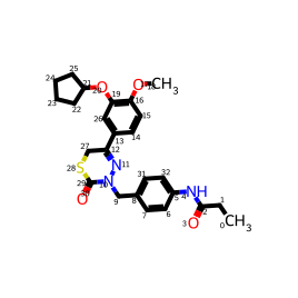 CCC(=O)Nc1ccc(CN2N=C(c3ccc(OC)c(OC4CCCC4)c3)CSC2=O)cc1